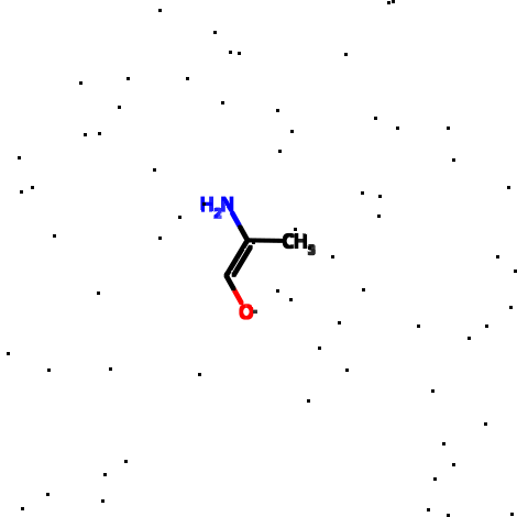 C/C(N)=C\[O]